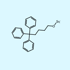 [Sn][O]CCCCC(c1ccccc1)(c1ccccc1)c1ccccc1